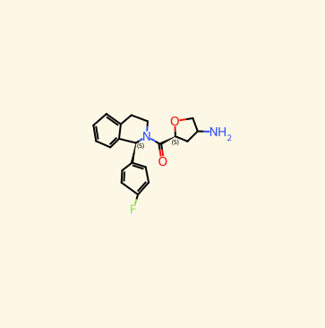 NC1CO[C@H](C(=O)N2CCc3ccccc3[C@@H]2c2ccc(F)cc2)C1